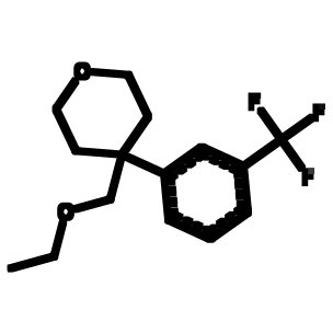 CCOCC1(c2cccc(C(F)(F)F)c2)CCOCC1